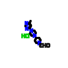 Cc1cc(N2CCN(C3CCN(C=O)CC3)CC2)ncn1.Cl